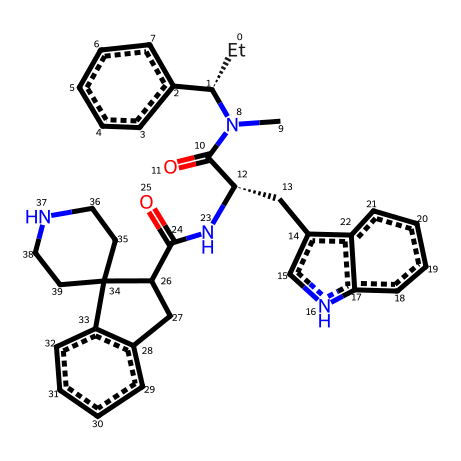 CC[C@@H](c1ccccc1)N(C)C(=O)[C@H](Cc1c[nH]c2ccccc12)NC(=O)C1Cc2ccccc2C12CCNCC2